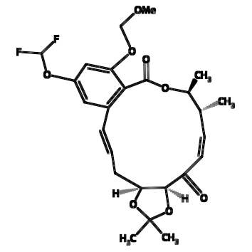 COCOc1cc(OC(F)F)cc2c1C(=O)O[C@@H](C)[C@H](C)/C=C\C(=O)[C@H]1OC(C)(C)O[C@H]1C/C=C/2